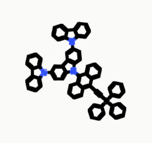 C(#C[Si](c1ccccc1)(c1ccccc1)c1ccccc1)c1c2ccccc2c(-n2c3ccc(-n4c5ccccc5c5ccccc54)cc3c3cc(-n4c5ccccc5c5ccccc54)ccc32)c2ccccc12